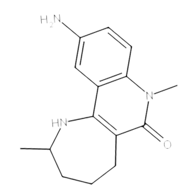 CC1CCCc2c(c3cc(N)ccc3n(C)c2=O)N1